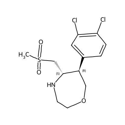 CS(=O)(=O)C[C@H]1NCCOC[C@@H]1c1ccc(Cl)c(Cl)c1